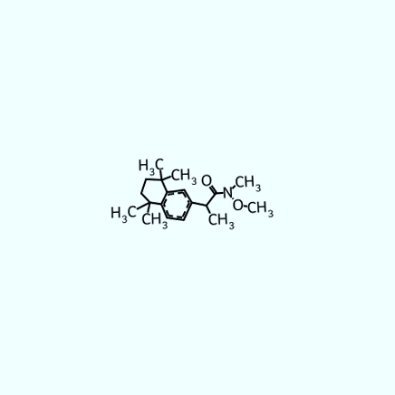 CON(C)C(=O)C(C)c1ccc2c(c1)C(C)(C)CCC2(C)C